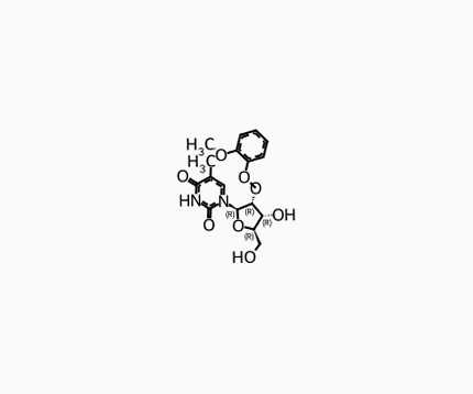 COc1ccccc1OO[C@@H]1[C@H](O)[C@@H](CO)O[C@H]1n1cc(C)c(=O)[nH]c1=O